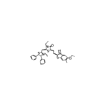 CCOc1cc2c(cc1C)SC(=CC=c1s/c(=C\C3=[N+](CC)C(c4ccccc4)C(c4ccccc4)S3)n(CC)c1=O)N2